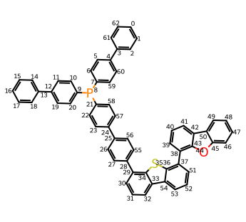 c1ccc(-c2ccc(P(c3ccc(-c4ccccc4)cc3)c3ccc(-c4ccc(-c5cccc6c5sc5c(-c7cccc8c7oc7ccccc78)cccc56)cc4)cc3)cc2)cc1